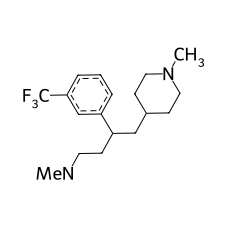 CNCCC(CC1CCN(C)CC1)c1cccc(C(F)(F)F)c1